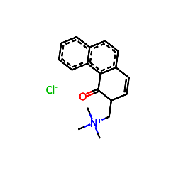 C[N+](C)(C)CC1C=Cc2ccc3ccccc3c2C1=O.[Cl-]